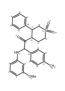 COc1cccc(NC(C(=O)N2CCS(=O)(=O)CC2c2ccccc2)c2ccc(C)cc2)c1